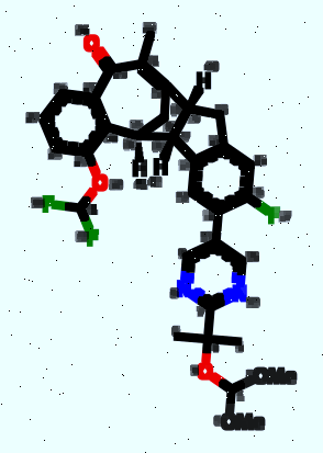 COC(OC)OC(C)(C)c1ncc(-c2cc3c(cc2F)C[C@H]2C4=C(C)C(=O)c5cccc(OC(F)F)c5[C@@H](C4)[C@@H]32)cn1